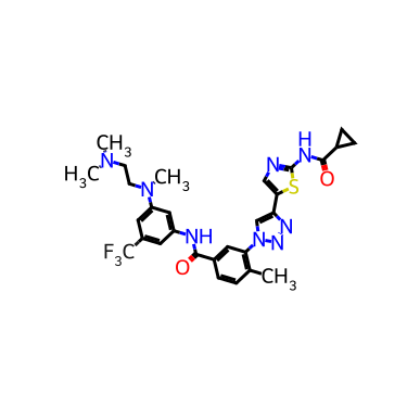 Cc1ccc(C(=O)Nc2cc(N(C)CCN(C)C)cc(C(F)(F)F)c2)cc1-n1cc(-c2cnc(NC(=O)C3CC3)s2)nn1